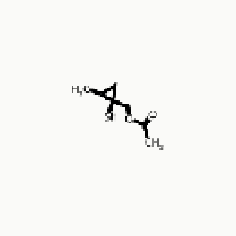 CC(=O)OCC1(S)CC1C